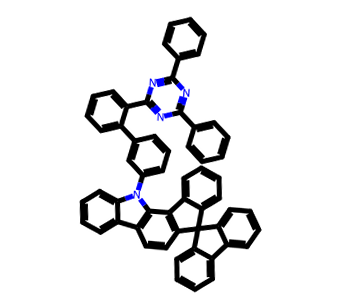 c1ccc(-c2nc(-c3ccccc3)nc(-c3ccccc3-c3cccc(-n4c5ccccc5c5ccc6c(c54)-c4ccccc4C64c5ccccc5-c5ccccc54)c3)n2)cc1